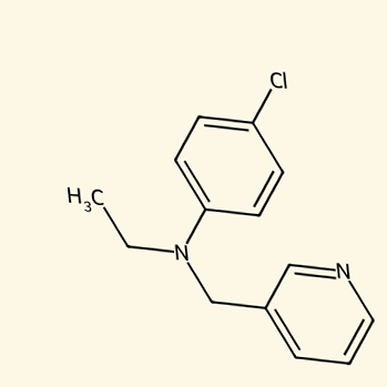 CCN(Cc1cccnc1)c1ccc(Cl)cc1